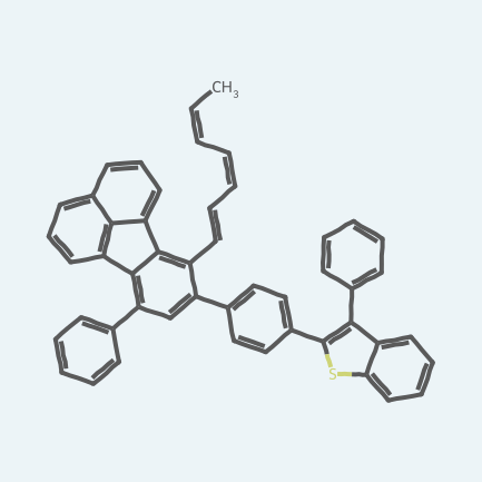 C\C=C/C=C\C=C\c1c(-c2ccc(-c3sc4ccccc4c3-c3ccccc3)cc2)cc(-c2ccccc2)c2c1-c1cccc3cccc-2c13